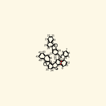 c1ccc(-c2ccccc2N(c2ccc3c(c2)oc2c4ccccc4ccc32)c2ccc3sc4ccc5oc6c7ccccc7ccc6c5c4c3c2)cc1